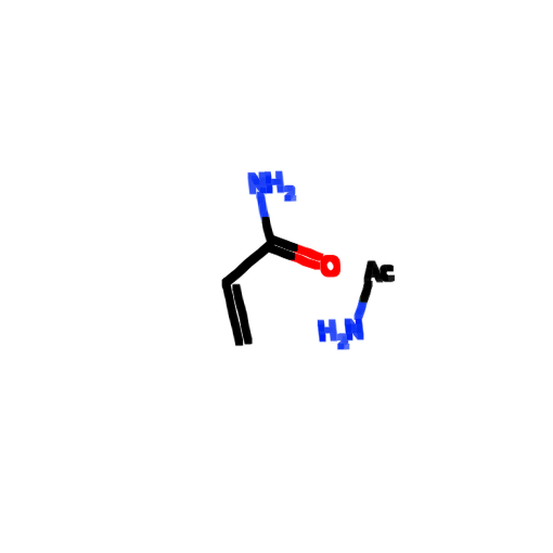 C=CC(N)=O.CC(N)=O